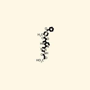 C[C@@H]1CN(C(=O)c2ccccc2)CCN1C(=O)C(=O)c1c[nH]c2c(-c3cncc(NC(=O)C4OC4C(=O)O)n3)nccc12